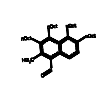 CCCCCCCCc1ccc2c(I=O)c(C(=O)O)c(CCCCCCCC)c(CCCCCCCC)c2c1CCCCCCCC